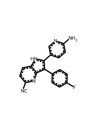 [C-]#[N+]c1ccc2[nH]c(-c3ccc(N)nc3)c(-c3ccc(F)cc3)c2n1